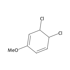 COC1=CC(Cl)C(Cl)C=C1